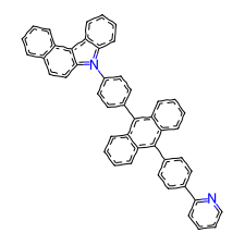 c1ccc(-c2ccc(-c3c4ccccc4c(-c4ccc(-n5c6ccccc6c6c7ccccc7ccc65)cc4)c4ccccc34)cc2)nc1